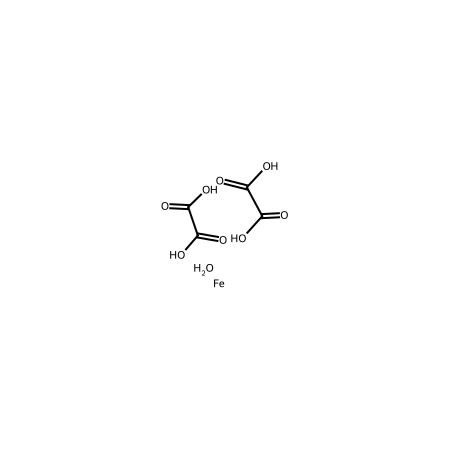 O.O=C(O)C(=O)O.O=C(O)C(=O)O.[Fe]